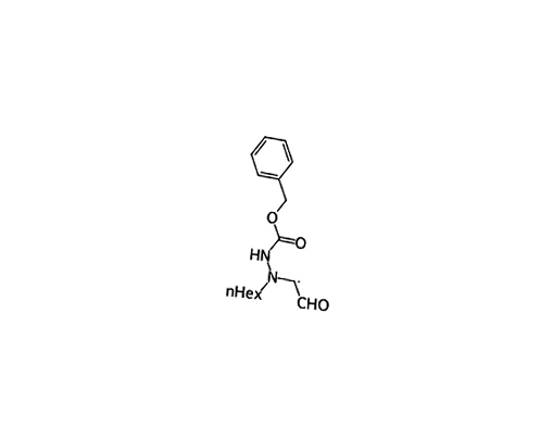 CCCCCCN([CH]C=O)NC(=O)OCc1ccccc1